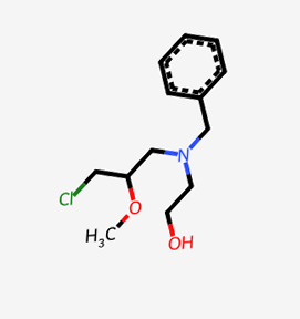 COC(CCl)CN(CCO)Cc1ccccc1